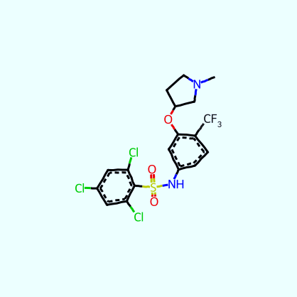 CN1CCC(Oc2cc(NS(=O)(=O)c3c(Cl)cc(Cl)cc3Cl)ccc2C(F)(F)F)C1